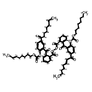 CCCCCCCCOC(=O)Oc1ccc(C(=O)CCCCCCC)cc1C(=O)c1ccccc1C(=O)OOC(=O)c1ccccc1C(=O)c1cc(C(=O)CCCCCCC)ccc1OC(=O)OCCCCCCCC